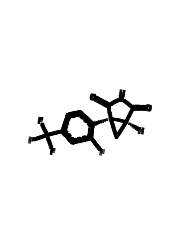 O=C1NC(=O)[C@]2(c3ccc(C(F)(F)F)cc3F)C[C@H]12